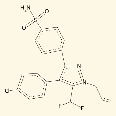 C=CCn1nc(-c2ccc(S(N)(=O)=O)cc2)c(-c2ccc(Cl)cc2)c1C(F)F